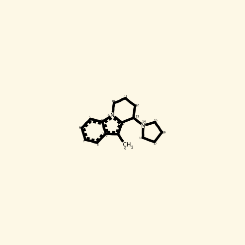 Cc1c2n(c3ccccc13)CCCC2N1CCCC1